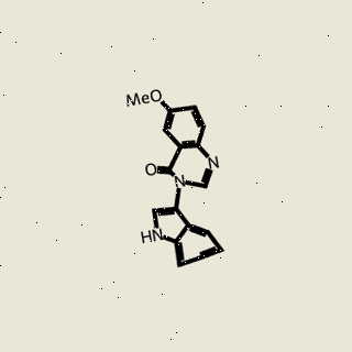 COc1ccc2ncn(-c3c[nH]c4ccccc34)c(=O)c2c1